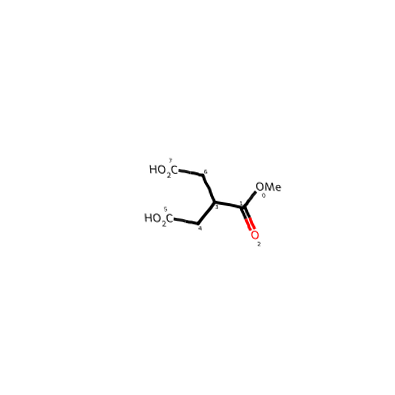 COC(=O)C(CC(=O)O)CC(=O)O